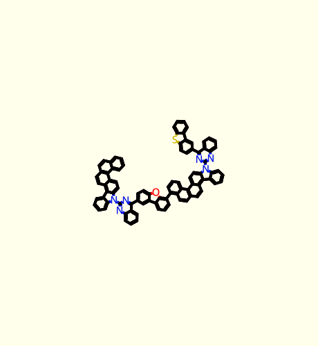 c1ccc2c(c1)ccc1ccc3c(ccc4c3c3ccccc3n4-c3nc(-c4ccc5oc6c(-c7cccc8c7ccc7ccc9c(ccc%10c9c9ccccc9n%10-c9nc(-c%10ccc%11sc%12ccccc%12c%11c%10)c%10ccccc%10n9)c78)cccc6c5c4)c4ccccc4n3)c12